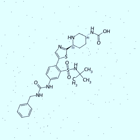 CC(C)(C)NS(=O)(=O)c1cc(NC(=O)NCc2ccccc2)ccc1-c1cnc([C@@H]2CC[C@@H](NC(=O)O)CN2)s1